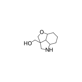 OCC12CNC3CCCC(OC1)C32